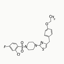 CCOc1ccc(Cc2csc(N3CCN(S(=O)(=O)c4ccc(F)cc4Cl)CC3)n2)cc1